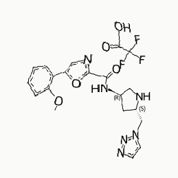 COc1ccccc1-c1cnc(C(=O)N[C@H]2CN[C@H](Cn3ccnn3)C2)o1.O=C(O)C(F)(F)F